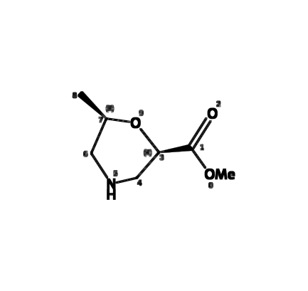 COC(=O)[C@H]1CNC[C@@H](C)O1